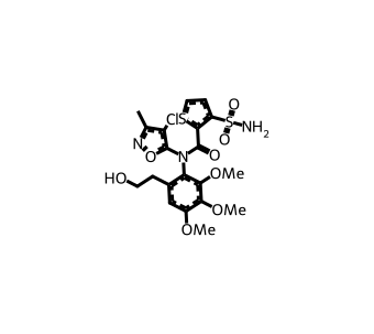 COc1cc(CCO)c(N(C(=O)c2sccc2S(N)(=O)=O)c2onc(C)c2Cl)c(OC)c1OC